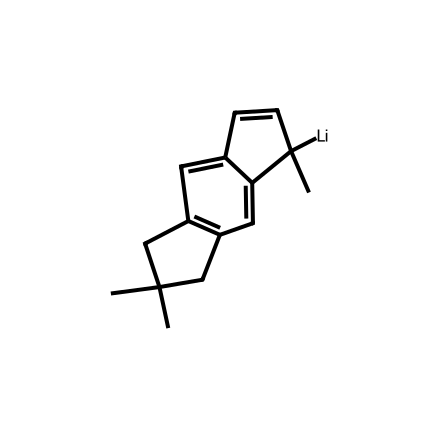 [Li][C]1(C)C=Cc2cc3c(cc21)CC(C)(C)C3